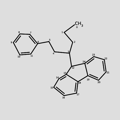 CCCC(CCc1ccccc1)C1c2ccccc2-c2ccccc21